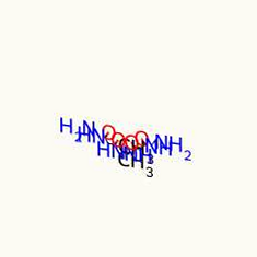 CC(C)(NC(=O)CC(=O)NCN)NC(=O)CC(=O)NCN